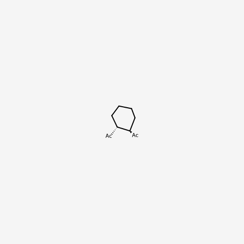 CC(=O)[C@@H]1CCCC[C@H]1C(C)=O